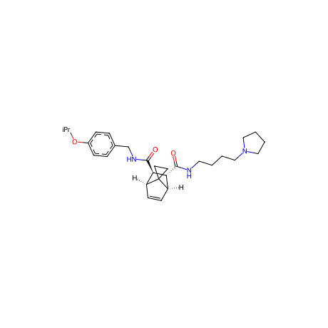 CC(C)Oc1ccc(CNC(=O)[C@H]2[C@H](C(=O)NCCCCN3CCCC3)[C@H]3C=C[C@@H]2C32CC2)cc1